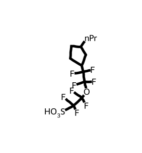 CCCC1CCC(C(F)(F)C(F)(F)OC(F)(F)C(F)(F)S(=O)(=O)O)C1